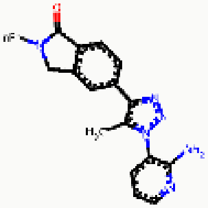 CCCN1Cc2cc(-c3nnn(-c4cccnc4N)c3C)ccc2C1=O